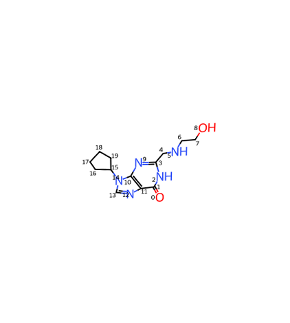 O=c1[nH]c(CNCCO)nc2c1ncn2C1CCCC1